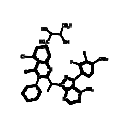 COc1ccc(-c2nn(C(C)c3nc4cccc(Cl)c4c(=O)n3-c3ccccc3)c3ncnc(N)c23)c(F)c1F.O=C(O)C(O)C(O)C(=O)O